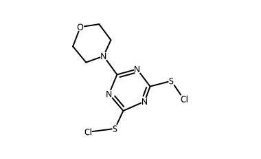 ClSc1nc(SCl)nc(N2CCOCC2)n1